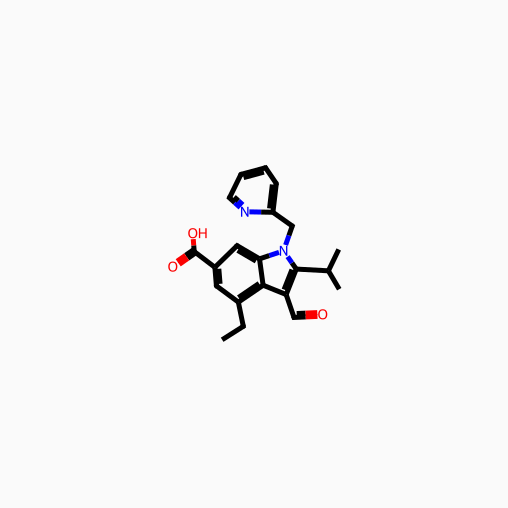 CCc1cc(C(=O)O)cc2c1c(C=O)c(C(C)C)n2Cc1ccccn1